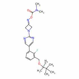 CN(C)C(=O)ON=C1CN(c2ncc(-c3cccc(CO[Si](C)(C)C(C)(C)C)c3F)cn2)C1